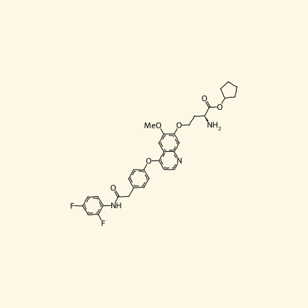 COc1cc2c(Oc3ccc(CC(=O)Nc4ccc(F)cc4F)cc3)ccnc2cc1OCC[C@H](N)C(=O)OC1CCCC1